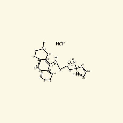 CN1CCc2nc3ccccc3c(NCCCC3([N+](=O)[O-])N=CC=N3)c2C1.Cl